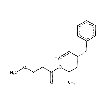 C=C[C@H](Cc1ccccc1)C[C@H](C)OC(=O)CCOC